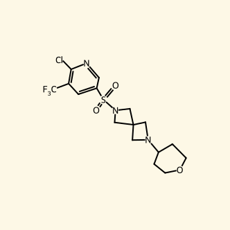 O=S(=O)(c1cnc(Cl)c(C(F)(F)F)c1)N1CC2(CN(C3CCOCC3)C2)C1